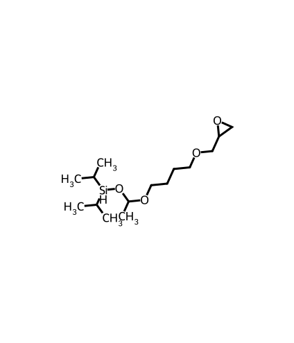 CC(OCCCCOCC1CO1)O[SiH](C(C)C)C(C)C